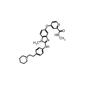 CNC(=O)c1cc(Oc2ccc3c(c2)nc(Nc2ccc(CCN4CCCCC4)cc2)n3C)ccn1